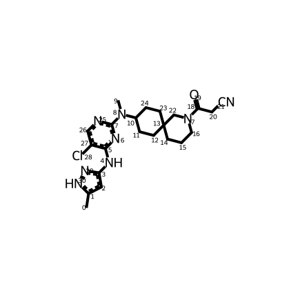 Cc1cc(Nc2nc(N(C)C3CCC4(CCCN(C(=O)CC#N)C4)CC3)ncc2Cl)n[nH]1